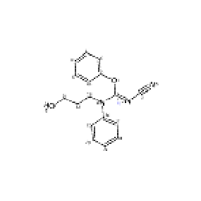 N#C/N=C(\Oc1ccccc1)N(CCCO)c1ccccc1